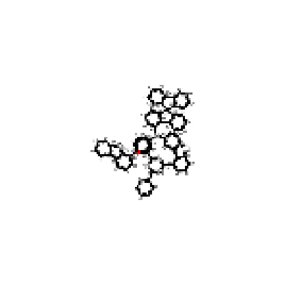 c1ccc(-c2nc(-c3ccccc3)nc(-c3cccc4oc5ccc(N(c6ccc(-c7cccc8c7oc7ccccc78)cc6)c6cccc7c6-c6ccccc6C76c7ccccc7-c7ccccc76)cc5c34)n2)cc1